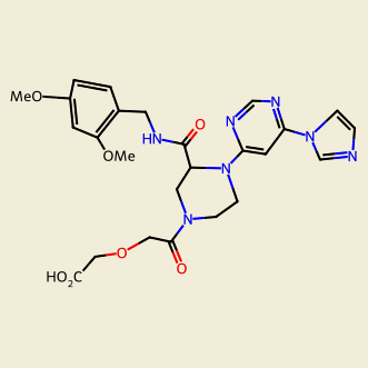 COc1ccc(CNC(=O)C2CN(C(=O)COCC(=O)O)CCN2c2cc(-n3ccnc3)ncn2)c(OC)c1